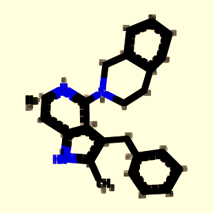 Cc1[nH]c2ccnc(N3CCc4ccccc4C3)c2c1Cc1ccccc1.[Na]